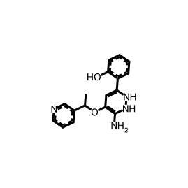 CC(OC1=C(N)NNC(c2ccccc2O)=C1)c1cccnc1